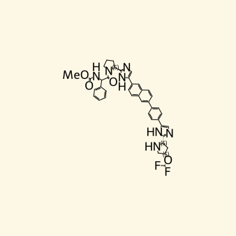 COC(=O)NC(C(=O)N1CCC[C@H]1c1ncc(-c2ccc3cc(-c4ccc(-c5cnc([C@@H]6C[C@H](OC(F)F)CN6)[nH]5)cc4)ccc3c2)[nH]1)c1ccccc1